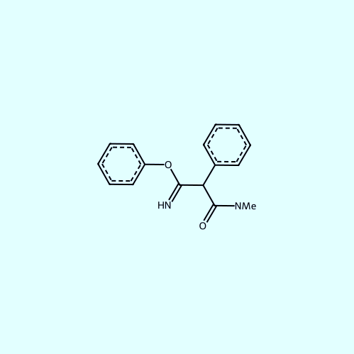 CNC(=O)C(C(=N)Oc1ccccc1)c1ccccc1